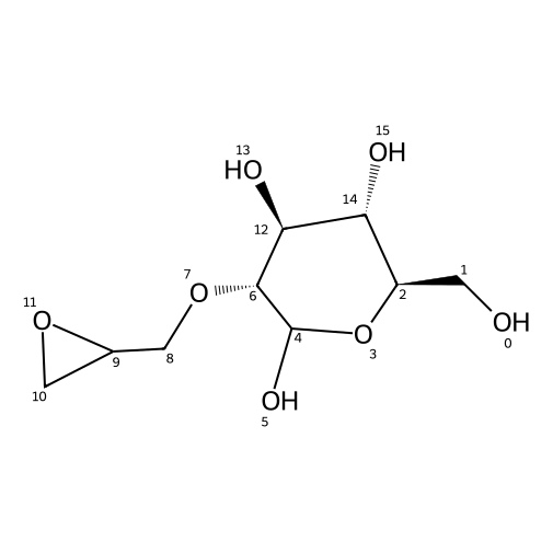 OC[C@H]1OC(O)[C@H](OCC2CO2)[C@@H](O)[C@@H]1O